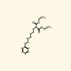 CCOC(=O)C(CCCCCCOc1ccccc1)C(=O)OCC